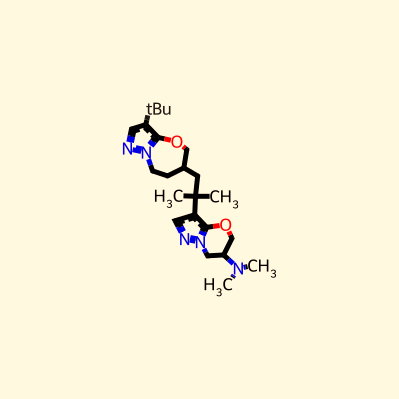 CN(C)C1COc2c(C(C)(C)CC3CCn4ncc(C(C)(C)C)c4OC3)cnn2C1